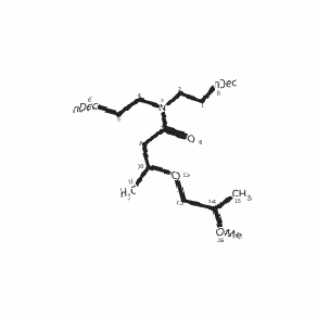 CCCCCCCCCCCCN(CCCCCCCCCCCC)C(=O)CC(C)OCC(C)OC